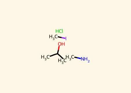 CC(C)O.CI.CN.Cl